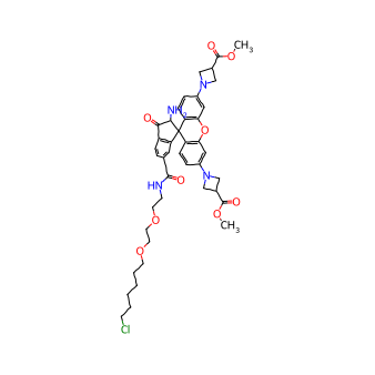 COC(=O)C1CN(c2ccc3c(c2)Oc2cc(N4CC(C(=O)OC)C4)ccc2C32c3cc(C(=O)NCCOCCOCCCCCCCl)ccc3C(=O)C2N)C1